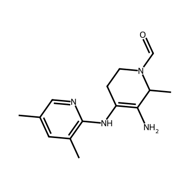 Cc1cnc(NC2=C(N)C(C)N(C=O)CC2)c(C)c1